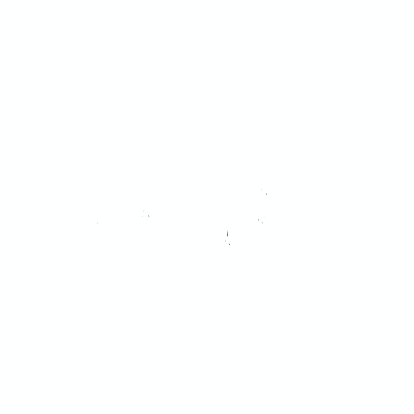 CC(C)(C)OC(=O)NCCCC[C@H](N)c1nc(Cc2ccccc2)no1